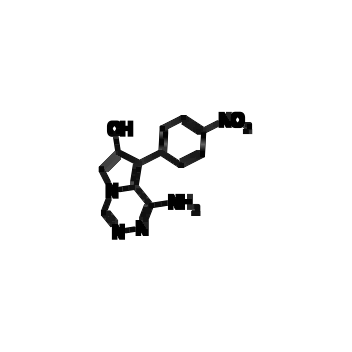 Nc1nncn2cc(O)c(-c3ccc([N+](=O)[O-])cc3)c12